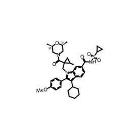 COc1ccc(-c2c(C3CCCCC3)c3ccc(C(=O)NS(=O)(=O)C4CC4)cc3n2CC2(C(=O)N3C[C@@H](C)O[C@@H](C)C3)CC2C)cc1